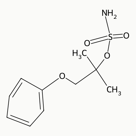 CC(C)(COc1ccccc1)OS(N)(=O)=O